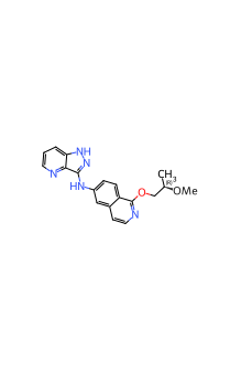 CO[C@H](C)COc1nccc2cc(Nc3n[nH]c4cccnc34)ccc12